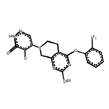 COc1nc2c(c(Oc3ccccc3C(F)(F)F)n1)CCN(c1cn[nH]c(=O)c1Cl)C2